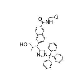 CC(CO)C(c1ccc2cc(C(=O)NCC3CC3)ccc2c1)c1cn(C(c2ccccc2)(c2ccccc2)c2ccccc2)cn1